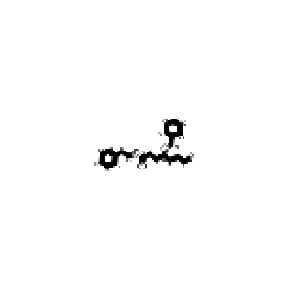 CCCCC(CCC(=O)OCCc1ccccc1)OCc1ccccc1